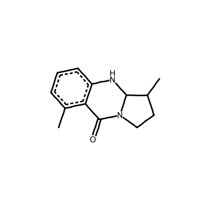 Cc1cccc2c1C(=O)N1CCC(C)C1N2